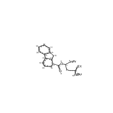 CCCCC(CC)CC(CCC)OC(=O)c1cccc2c1[C]c1ccccc1-2